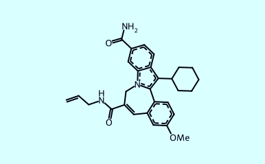 C=CCNC(=O)C1=Cc2cc(OC)ccc2-c2c(C3CCCCC3)c3ccc(C(N)=O)cc3n2C1